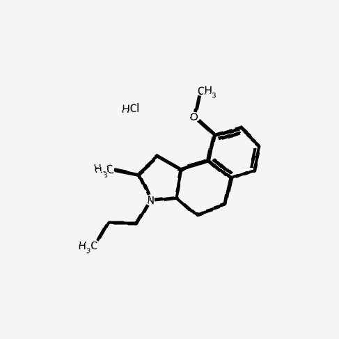 CCCN1C(C)CC2c3c(cccc3OC)CCC21.Cl